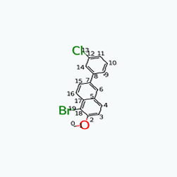 COc1ccc2cc(-c3[c]ccc(Cl)c3)ccc2c1Br